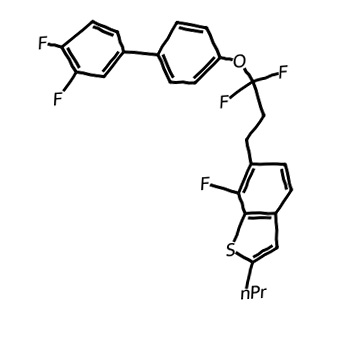 CCCc1cc2ccc(CCC(F)(F)Oc3ccc(-c4ccc(F)c(F)c4)cc3)c(F)c2s1